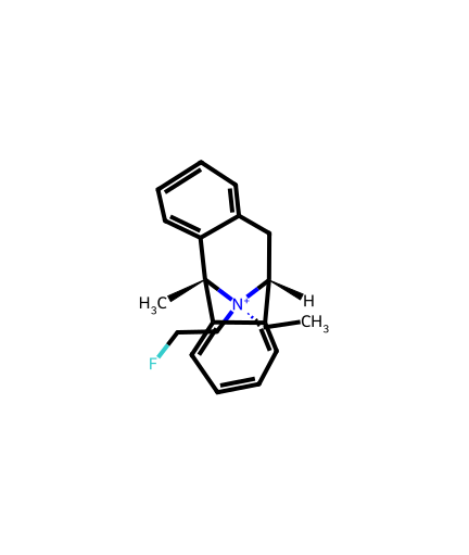 CC[N@@+]1(CCF)[C@@H]2Cc3ccccc3[C@@]1(C)c1ccccc12